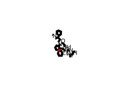 Cc1cc(C)nc(O[C@H](C(=O)O)[C@@]2(c3ccccc3)NCC(=O)N(CCc3cn(C)c4ccccc34)c3ccccc32)n1